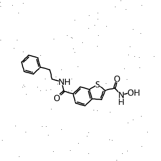 O=C(NCCc1ccccc1)c1ccc2cc(C(=O)NO)sc2c1